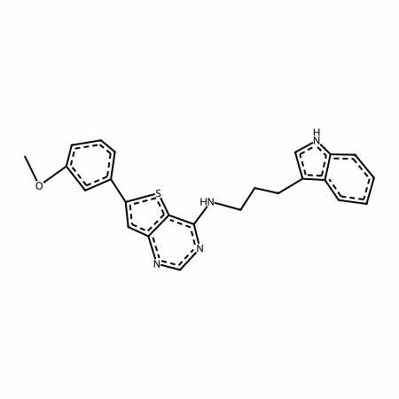 COc1cccc(-c2cc3ncnc(NCCCc4c[nH]c5ccccc45)c3s2)c1